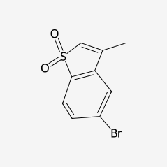 CC1=CS(=O)(=O)c2ccc(Br)cc21